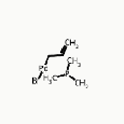 C=C[CH2][Pd][Br].CP(C)C